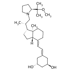 COC(C)(C)[C@@H]1CCCN1C[C@@H](C)[C@H]1CC[C@H]2/C(=C/C=C3C[C@@H](O)C[C@H](O)C3)CCC[C@]12C